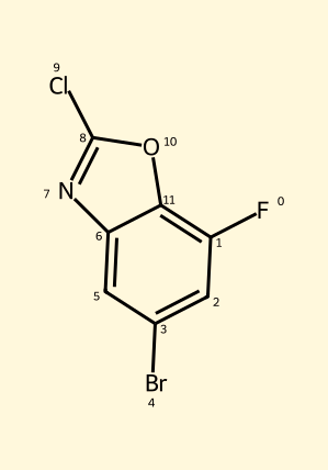 Fc1cc(Br)cc2nc(Cl)oc12